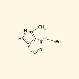 CCC(C)Nc1nccc2[nH]nc(C)c12